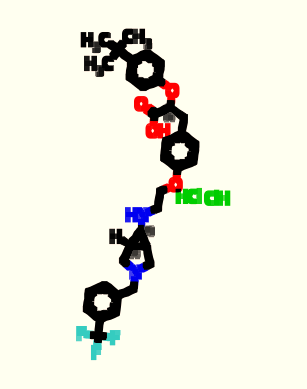 CC(C)(C)c1ccc(O[C@@H](Cc2ccc(OCCN[C@H]3C4CN(Cc5cccc(C(F)(F)F)c5)C[C@@H]43)cc2)C(=O)O)cc1.Cl.Cl